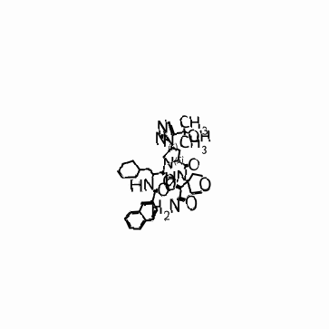 CC(C)(O)c1cnnn1[C@H]1C[C@@H](C(=O)NC2(C(=O)C(N)=O)CCOCC2)N(C(=O)C(CC2CCCCC2)NC(=O)c2ccc3ccccc3c2)C1